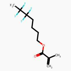 C=C(C)C(=O)OCCCCC(F)(F)C(F)(F)C(F)(F)F